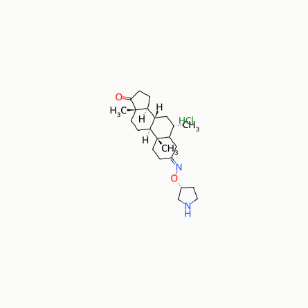 C[C@H]1C[C@@H]2[C@H](CC[C@]3(C)C(=O)CC[C@@H]23)[C@@]2(C)CCC(=NO[C@@H]3CCNC3)CC12.Cl